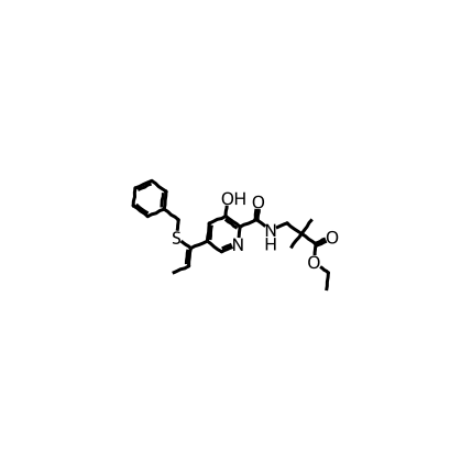 C/C=C(\SCc1ccccc1)c1cnc(C(=O)NCC(C)(C)C(=O)OCC)c(O)c1